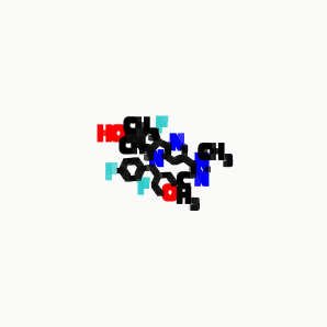 Cc1ncn(C)c1-c1cnc2c3c(F)cc(C(C)(C)O)cc3n(C(c3ccc(F)cc3F)C3CCOCC3)c2c1